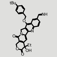 CCC1(O)C(=O)OCc2c1cc1n(c2=O)Cc2c-1nc1ccc(C=N)cc1c2OCc1ccc(C(C)(C)C)cc1